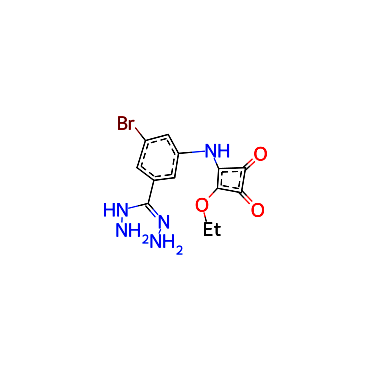 CCOc1c(Nc2cc(Br)cc(/C(=N/N)NN)c2)c(=O)c1=O